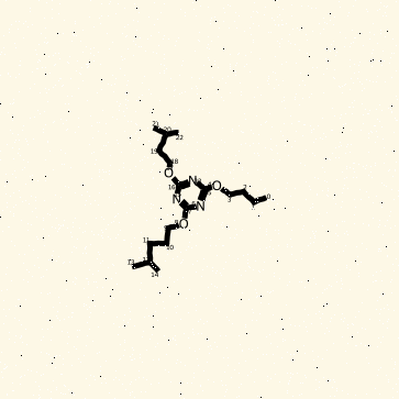 CCCCOc1nc(OCCCC(C)C)nc(OCCC(C)C)n1